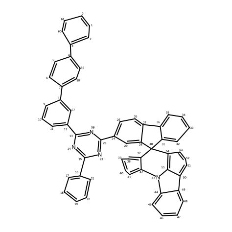 c1ccc(-c2ccc(-c3cccc(-c4nc(-c5ccccc5)nc(-c5ccc6c(c5)C5(c7ccccc7-6)c6ccccc6-n6c7ccccc7c7cccc5c76)n4)c3)cc2)cc1